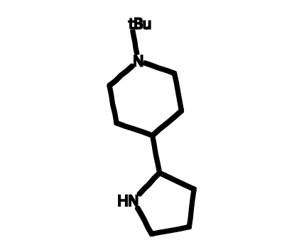 CC(C)(C)N1CCC(C2CCCN2)CC1